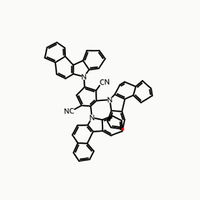 N#Cc1cc(-n2c3ccccc3c3c4ccccc4ccc32)c(C#N)c(-n2c3ccccc3c3c4ccccc4ccc32)c1-n1c2ccccc2c2c3ccccc3ccc21